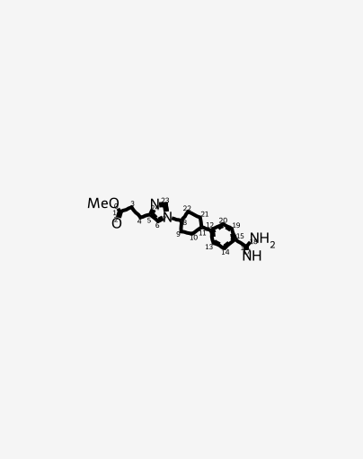 COC(=O)CCc1cn(C2CCC(c3ccc(C(=N)N)cc3)CC2)cn1